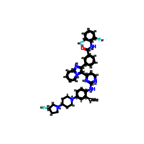 COc1cc(N2CCC(N3CC[C@@H](F)C3)CC2)ccc1Nc1nccc(-c2c(-c3cccc(C(=O)Nc4c(F)cccc4F)c3)nc3ccccn23)n1